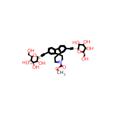 COC(=O)N1CCC2(CC1)c1cc(C#C[C@H]3O[C@H](CO)[C@@H](O)[C@H](O)[C@H]3O)ccc1-c1ccc(C#C[C@H]3O[C@H](CO)[C@@H](O)[C@H](O)[C@H]3O)cc12